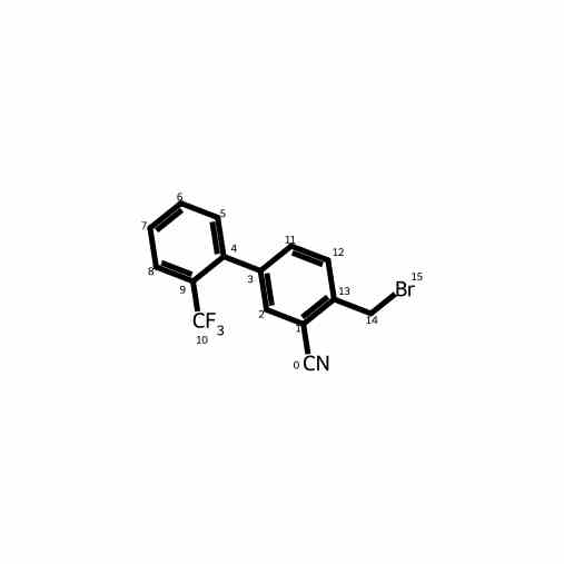 N#Cc1cc(-c2ccccc2C(F)(F)F)ccc1CBr